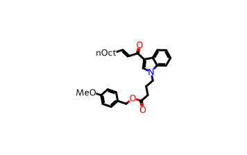 CCCCCCCCC=CC(=O)c1cn(CCCC(=O)OCc2ccc(OC)cc2)c2ccccc12